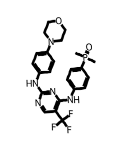 CP(C)(=O)c1ccc(Nc2nc(Nc3ccc(N4CCOCC4)cc3)ncc2C(F)(F)F)cc1